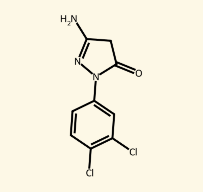 NC1=NN(c2ccc(Cl)c(Cl)c2)C(=O)C1